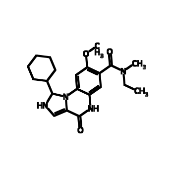 CCN(C)C(=O)c1cc2c(cc1OC)N1C(=CNC1C1CCCCC1)C(=O)N2